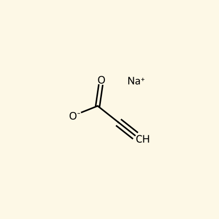 C#CC(=O)[O-].[Na+]